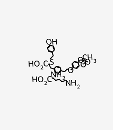 CS(=O)(=O)Oc1ccc(OCCc2ccc(CC(SCCc3ccc(O)cc3)C(=O)O)cc2)cc1.NCCCCC(N)C(=O)O